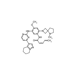 C=C/C=C\C(=O)Nc1cc(Nc2nccc(-c3cnn4c3CCCC4)n2)c(OC)cc1N1CC2(CCCN2C)C1